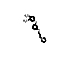 Nc1ccc(Oc2cccc(OCCCN3CCCC3)c2)cc1N